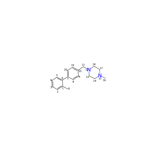 Cc1c[c]ccc1-c1ccc(CN2CCN(C)CC2)cc1